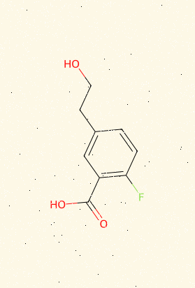 O=C(O)c1cc(CCO)ccc1F